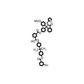 COc1ccc(C2(c3ccc(OC(=O)c4cccc(C(O)Oc5ccc(C(C)(C)c6ccc(OC(=O)c7cccc(C(C)=O)c7)cc6)cc5)c4)cc3)c3ccccc3C(=O)N2Cc2ccco2)cc1